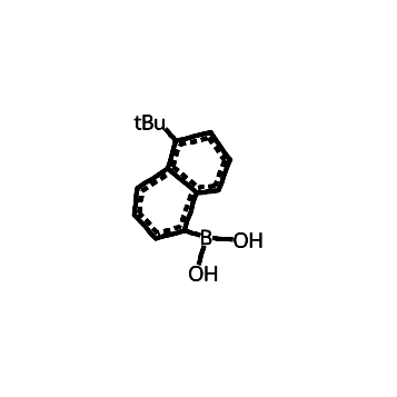 CC(C)(C)c1cccc2c(B(O)O)cccc12